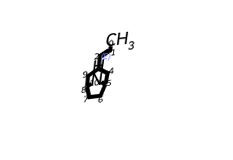 C/C=C/C1CC2CCC(C1)N2